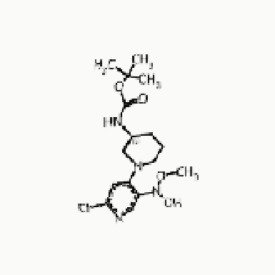 CON(O)c1cnc(Cl)cc1N1CCC[C@H](NC(=O)OC(C)(C)C)C1